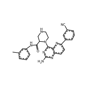 Cc1cccc(NC(=O)C2CNCCN2c2nc(N)nc3ccc(-c4cccc(C#N)c4)nc23)c1